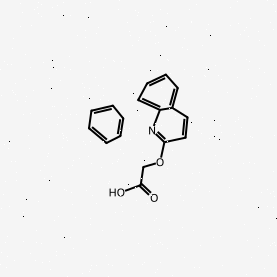 O=C(O)COc1ccc2ccccc2n1.c1ccccc1